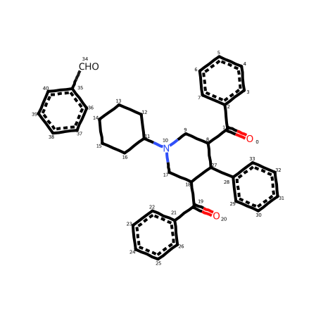 O=C(c1ccccc1)C1CN(C2CCCCC2)CC(C(=O)c2ccccc2)C1c1ccccc1.O=Cc1ccccc1